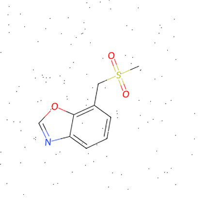 CS(=O)(=O)Cc1cccc2ncoc12